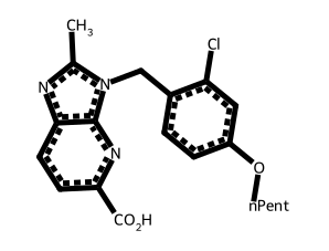 CCCCCOc1ccc(Cn2c(C)nc3ccc(C(=O)O)nc32)c(Cl)c1